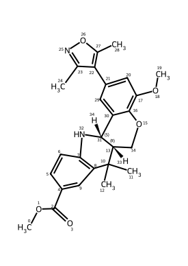 COC(=O)c1ccc2c(c1)C(C)(C)[C@H]1COc3c(OC)cc(-c4c(C)noc4C)cc3[C@H]1N2